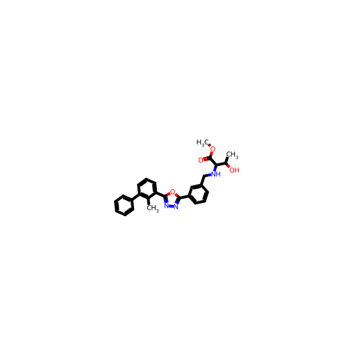 COC(=O)C(NCc1cccc(-c2nnc(-c3cccc(-c4ccccc4)c3C)o2)c1)C(C)O